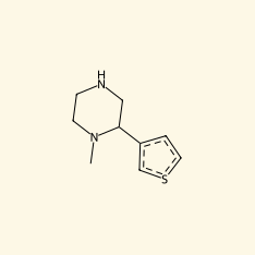 CN1CCNCC1c1ccsc1